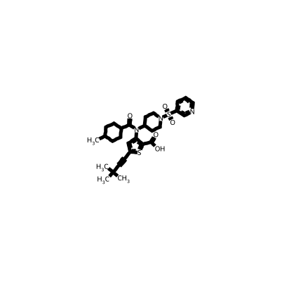 CC1CCC(C(=O)N(c2cc(C#CC(C)(C)C)sc2C(=O)O)C2CCN(S(=O)(=O)c3cccnc3)CC2)CC1